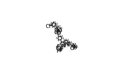 O=P1(OCc2ccc(-c3cc(C(F)(F)C(F)(F)F)nc4c3ccc3cc(-c5nnco5)cn34)cc2)OCC[C@@H](c2cccc(Cl)c2)O1